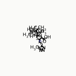 Cn1nnnc1S/C=C1/S[C@@H]2[C@H]([C@@](C)(O[SiH](C)C)C(C)(C)C)C(=O)N2C1C(=O)O